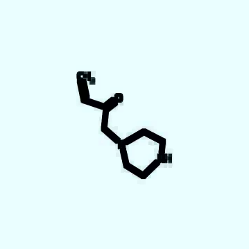 C=CC(=O)CN1CCNCC1